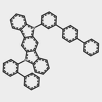 c1ccc(-c2ccc(-c3cccc(-n4c5ccccc5c5cc6c(cc54)c4ccccc4n6-c4ccccc4-c4ccccc4)c3)cc2)cc1